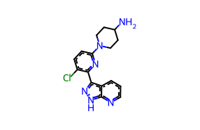 NC1CCN(c2ccc(Cl)c(-c3n[nH]c4ncccc34)n2)CC1